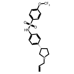 C=CCN1CC[C@@H](c2ccc(NS(=O)(=O)c3ccc(OC(F)(F)F)cc3)cc2)C1